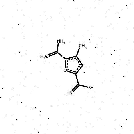 C=C(N)c1oc(C(=N)S)cc1C